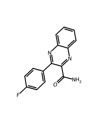 NC(=O)c1nc2ccccc2nc1-c1ccc(F)cc1